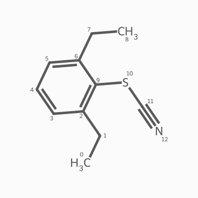 CCc1cccc(CC)c1SC#N